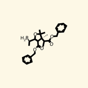 B[C@H](C)C1OC(C)(C)[C@@](C)(C(C)C(=O)OCc2ccccc2)C1C(=O)OCc1ccccc1